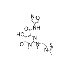 Cc1csc(CN(C)c2nc(C(=O)Nc3cnoc3)c(O)c(=O)n2C)n1